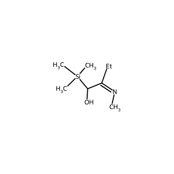 CCC(=NC)C(O)[Si](C)(C)C